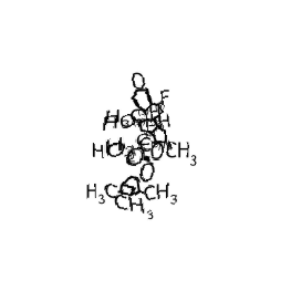 CC1C(OC(=O)O[C@@]2(C(=O)O)[C@H](C)C[C@H]3[C@@H]4C[C@H](F)C5=CC(=O)C=C[C@]5(C)C4(F)[C@@H](O)C[C@@]32C)CC2CC1C2(C)C